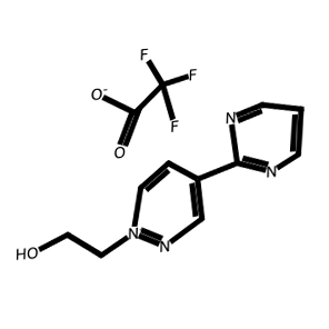 O=C([O-])C(F)(F)F.OCC[n+]1ccc(-c2ncccn2)cn1